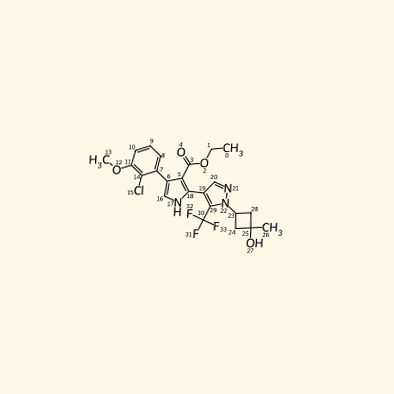 CCOC(=O)c1c(-c2cccc(OC)c2Cl)c[nH]c1-c1cnn(C2CC(C)(O)C2)c1C(F)(F)F